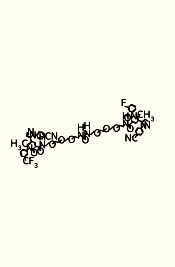 Cc1c(-c2ccnn2-c2ccc(C#N)cc2)cc(C(=O)NCCOCCOCCOCCNC(=O)NCCOCCOCCOCCNC(=O)c2cc(-c3ccnn3-c3ccc(C#N)cc3)c(C)n(-c3cccc(C(F)(F)F)c3)c2=O)c(=O)n1-c1cccc(CF)c1